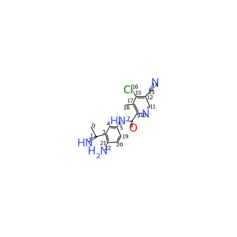 CC(=N)c1cc(NC(=O)c2ncc(C#N)c(Cl)c2C)ccc1N